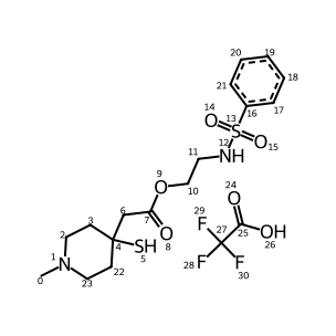 CN1CCC(S)(CC(=O)OCCNS(=O)(=O)c2ccccc2)CC1.O=C(O)C(F)(F)F